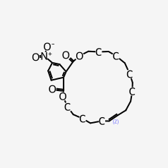 O=C1OCCCCC/C=C\CCCCCCCCCCOC(=O)c2cc([N+](=O)[O-])ccc21